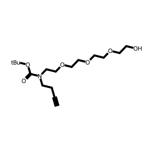 C#CCCN(CCOCCOCCOCCO)C(=O)OC(C)(C)C